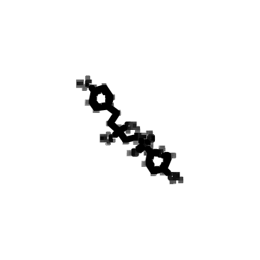 Cc1ccc(CCC(C)(C)CNS(=O)(=O)c2ccc(C)cc2)cc1